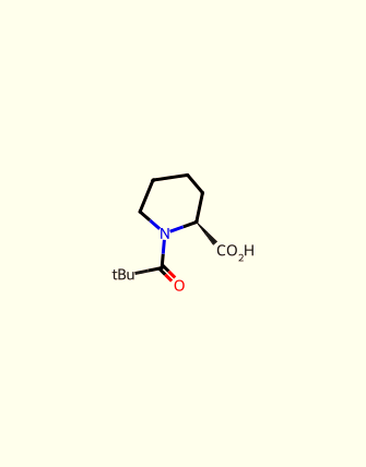 CC(C)(C)C(=O)N1CCCC[C@H]1C(=O)O